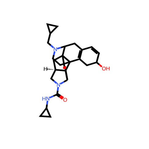 O=C(NC1CC1)N1C[C@H]2CC34CCC1C2C31CCN(CC2CC2)C4CC2=C1CC(O)C=C2